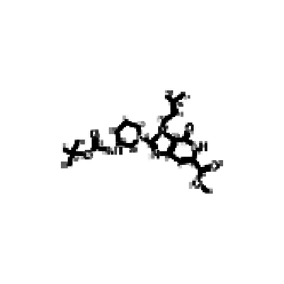 COC(=O)c1cc2nc(N3CCC[C@@H](NC(=O)OC(C)(C)C)C3)n(CC=C(C)C)c2c(=O)[nH]1